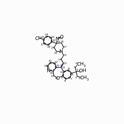 CCC(O)(CC)c1ccc2c(c1)/C(=C/CCN1CCC(N=O)(c3ccc(Cl)cc3)CC1)c1cccnc1CO2